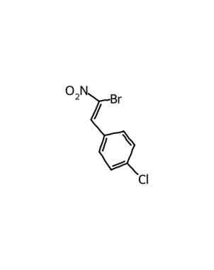 O=[N+]([O-])C(Br)=Cc1ccc(Cl)cc1